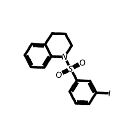 O=S(=O)(c1cccc(I)c1)N1CCCc2ccccc21